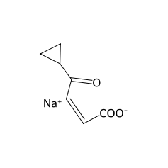 O=C([O-])/C=C\C(=O)C1CC1.[Na+]